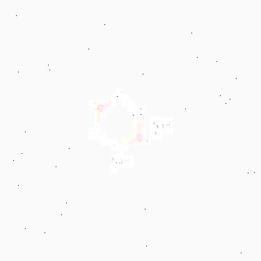 C1COCCO1.[NaH].[NaH]